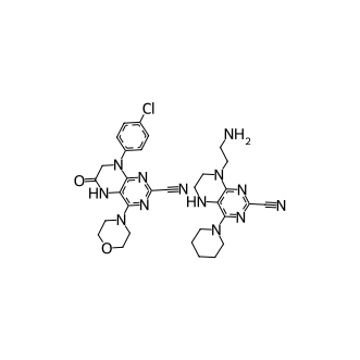 N#Cc1nc(N2CCCCC2)c2c(n1)N(CCN)CCN2.N#Cc1nc(N2CCOCC2)c2c(n1)N(c1ccc(Cl)cc1)CC(=O)N2